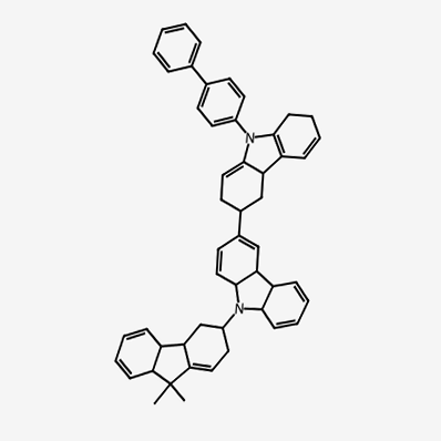 CC1(C)C2=CCC(N3C4C=CC=CC4C4C=C(C5CC=C6C(C5)C5=C(CCC=C5)N6c5ccc(-c6ccccc6)cc5)C=CC43)CC2C2C=CC=CC21